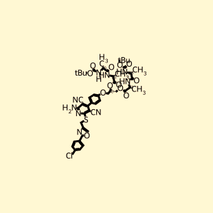 C[C@@H](NC(=O)OC(C)(C)C)C(=O)N[C@H](C)C(=O)OC[C@H](COc1ccc(-c2c(C#N)c(N)nc(SCc3coc(-c4ccc(Cl)cc4)n3)c2C#N)cc1)OC(=O)[C@@H](C)NC(=O)[C@@H](C)NC(=O)OC(C)(C)C